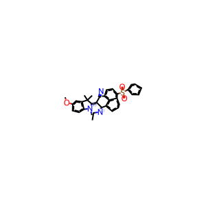 CC/N=C(\C(C#N)=C1/N(C)c2ccc(OC)cc2C1(C)C)c1cccc2c(S(=O)(=O)c3ccccc3)ccc(C)c12